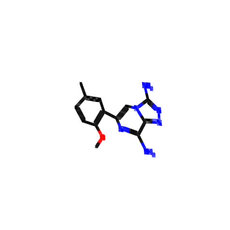 COc1ccc(C)cc1-c1cn2c(N)nnc2c(N)n1